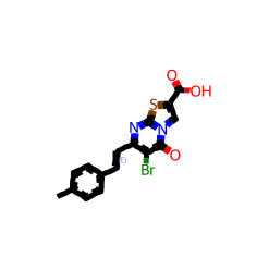 Cc1ccc(/C=C/c2nc3sc(C(=O)O)cn3c(=O)c2Br)cc1